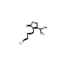 C/C=C/C=C/C1=C(C(C)O)COC1=O